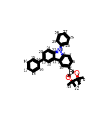 CC1(C)OB(c2ccc3c(c2)c2cc(-c4ccccc4)ccc2n3-c2ccccc2)OC1(C)C